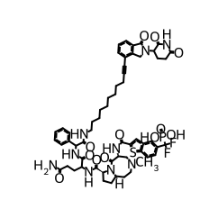 CN1CC[C@H]2CC[C@@H](C(=O)NC(CCC(N)=O)C(=O)NC(C(=O)NCCCCCCCCCC#Cc3cccc4c3CN(C3CCC(=O)NC3=O)C4=O)c3ccccc3)N2C(=O)[C@@H](NC(=O)c2cc3cc(C(F)(F)P(=O)(O)O)ccc3s2)C1